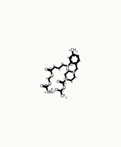 Cc1ccc(CN2CCN(C(=O)OC(C(F)(F)F)C(F)(F)F)CC2)c(NCCCC(=O)OCOC(=O)C(C)(C)C)c1